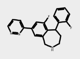 Fc1ccccc1C1CCNCc2cc(-c3cccnn3)cc(F)c21